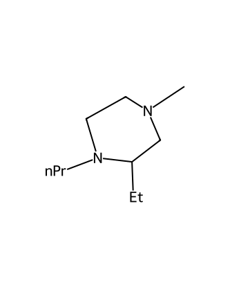 CCCN1CCN(C)CC1CC